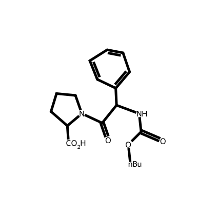 CCCCOC(=O)NC(C(=O)N1CCCC1C(=O)O)c1ccccc1